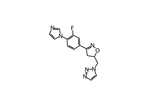 Fc1cc(C2=NOC(Cn3ccnn3)C2)ccc1-n1ccnc1